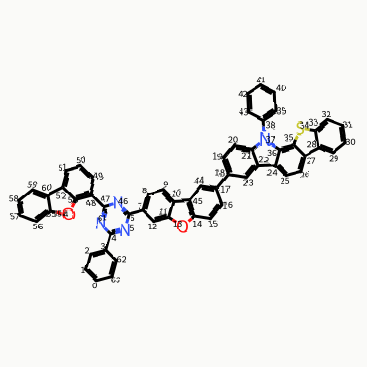 c1ccc(-c2nc(-c3ccc4c(c3)oc3ccc(-c5ccc6c(c5)c5ccc7c8ccccc8sc7c5n6-c5ccccc5)cc34)nc(-c3cccc4c3oc3ccccc34)n2)cc1